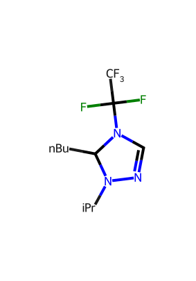 CCCCC1N(C(C)C)N=CN1C(F)(F)C(F)(F)F